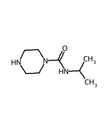 CC(C)NC(=O)N1CCNCC1